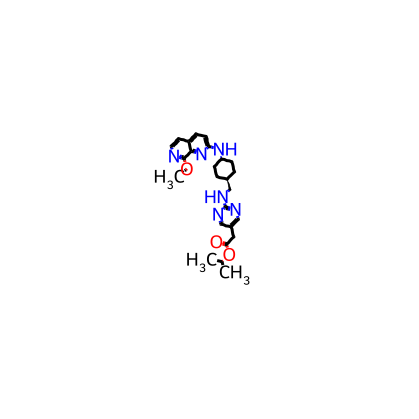 COc1nccc2ccc(N[C@H]3CC[C@H](CNc4ncc(CC(=O)OC(C)C)cn4)CC3)nc12